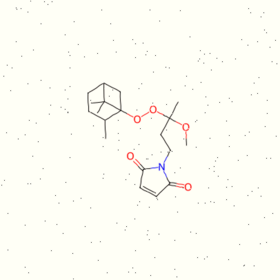 COC(C)(CCN1C(=O)C=CC1=O)OOC12CC(CCC1C)C2(C)C